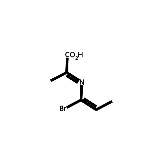 C/C=C(Br)\N=C(/C)C(=O)O